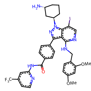 COc1ccc(CNc2ncc(I)c3c2c(-c2ccc(C(=O)Nc4cc(C(F)(F)F)ccn4)cc2)nn3[C@@H]2CCC[C@@H](N)C2)c(OC)c1